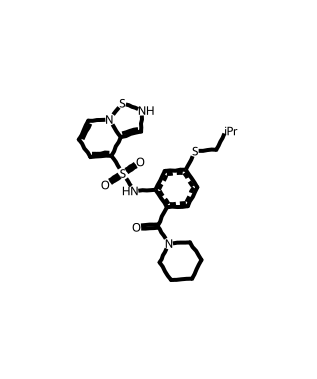 CC(C)CSc1ccc(C(=O)N2CCCCC2)c(NS(=O)(=O)C2=CC=CN3SNC=C23)c1